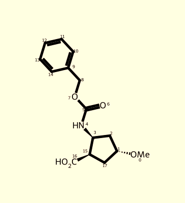 CO[C@H]1C[C@H](NC(=O)OCc2ccccc2)[C@H](C(=O)O)C1